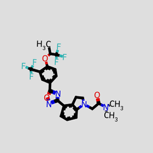 CC(Oc1ccc(-c2nc(-c3cccc4c3CCN4CC(=O)N(C)C)no2)cc1C(F)(F)F)C(F)(F)F